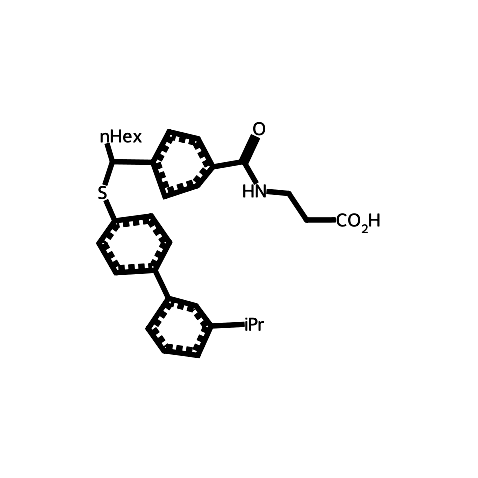 CCCCCCC(Sc1ccc(-c2cccc(C(C)C)c2)cc1)c1ccc(C(=O)NCCC(=O)O)cc1